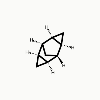 [CH]1[C@@H]2[C@H]3C[C@H]3[C@@H]1[C@H]1C[C@@H]21